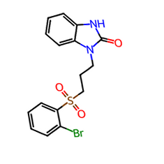 O=c1[nH]c2ccccc2n1CCCS(=O)(=O)c1ccccc1Br